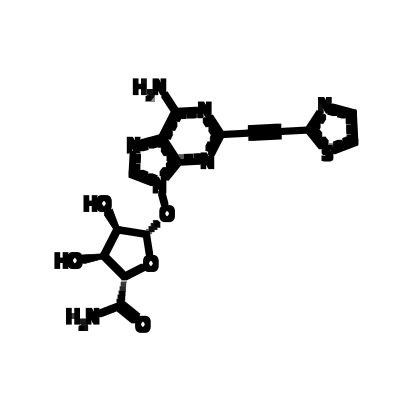 NC(=O)[C@H]1O[C@@H](On2cnc3c(N)nc(C#Cc4nccs4)nc32)[C@H](O)[C@@H]1O